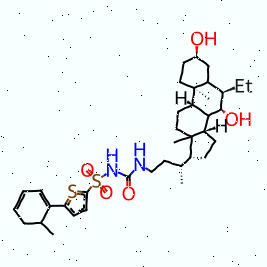 CC[C@@H]1C2C[C@H](O)CC[C@]2(C)[C@H]2CCC3(C)[C@@H]([C@H](C)CCNC(=O)NS(=O)(=O)c4ccc(C5=CC=CCC5C)s4)CC[C@H]3C2[C@@H]1O